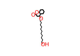 O=c1cc(OCCCCCCCCCCCO)c2ccccc2o1